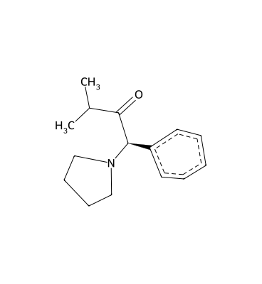 CC(C)C(=O)[C@@H](c1ccccc1)N1CCCC1